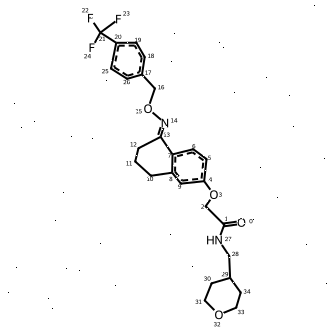 O=C(COc1ccc2c(c1)CCCC2=NOCc1ccc(C(F)(F)F)cc1)NCC1CCOCC1